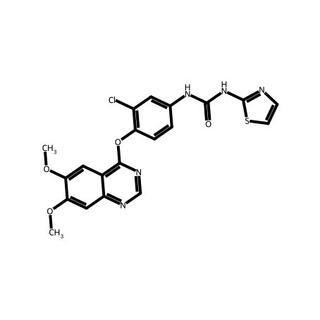 COc1cc2ncnc(Oc3ccc(NC(=O)Nc4nccs4)cc3Cl)c2cc1OC